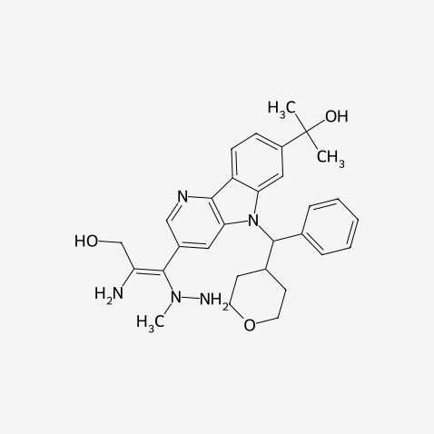 CN(N)/C(=C(\N)CO)c1cnc2c3ccc(C(C)(C)O)cc3n(C(c3ccccc3)C3CCOCC3)c2c1